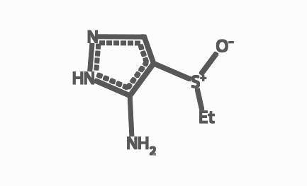 CC[S+]([O-])c1cn[nH]c1N